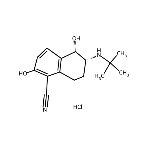 CC(C)(C)N[C@@H]1CCc2c(ccc(O)c2C#N)[C@@H]1O.Cl